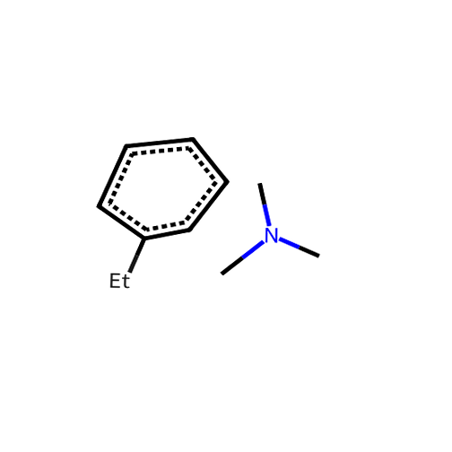 CCc1ccccc1.CN(C)C